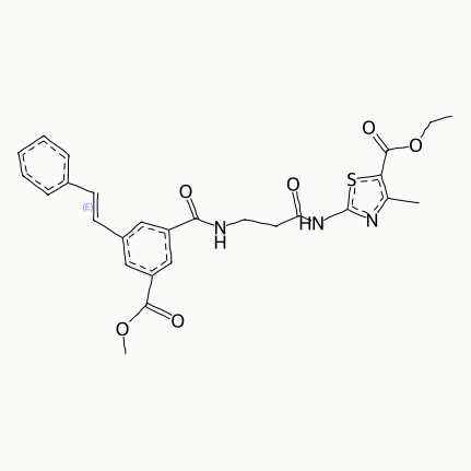 CCOC(=O)c1sc(NC(=O)CCNC(=O)c2cc(/C=C/c3ccccc3)cc(C(=O)OC)c2)nc1C